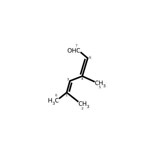 CC(C)=CC(C)=CC=O